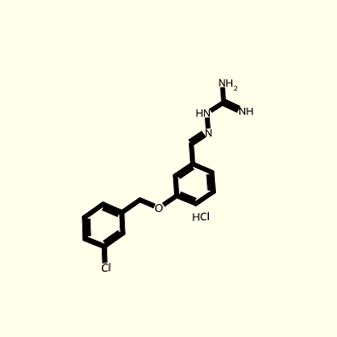 Cl.N=C(N)NN=Cc1cccc(OCc2cccc(Cl)c2)c1